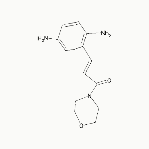 Nc1ccc(N)c(C=CC(=O)N2CCOCC2)c1